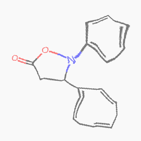 O=C1CC(c2ccccc2)N(c2ccccc2)O1